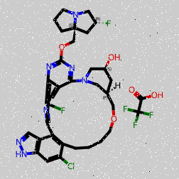 O=C(O)C(F)(F)F.O[C@H]1C[C@H]2COCCCCc3c(Cl)cc4[nH]ncc4c3-c3ncc4c(nc(OC[C@@]56CCCN5C[C@H](F)C6)nc4c3F)N(C1)C2